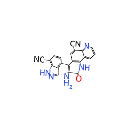 N#Cc1cc2c(-c3ccc(C#N)c4[nH]ncc34)c(N)c(=O)[nH]c2c2cccnc12